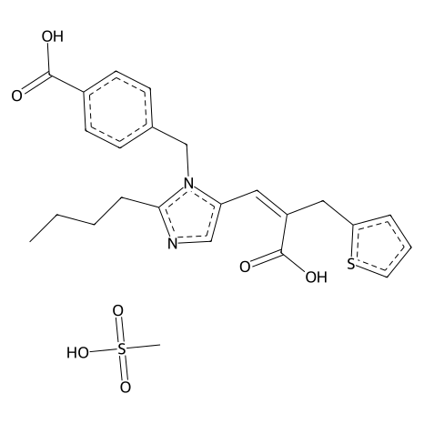 CCCCc1ncc(C=C(Cc2cccs2)C(=O)O)n1Cc1ccc(C(=O)O)cc1.CS(=O)(=O)O